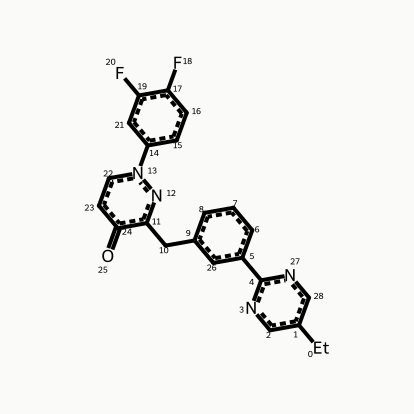 CCc1cnc(-c2cccc(Cc3nn(-c4ccc(F)c(F)c4)ccc3=O)c2)nc1